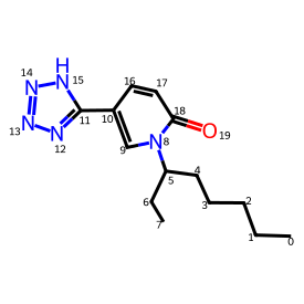 CCCCCC(CC)n1cc(-c2nnn[nH]2)ccc1=O